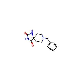 O=C1NC(=O)C2(CCN(Cc3ccccc3)CC2)N1